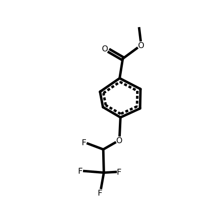 COC(=O)c1ccc(OC(F)C(F)(F)F)cc1